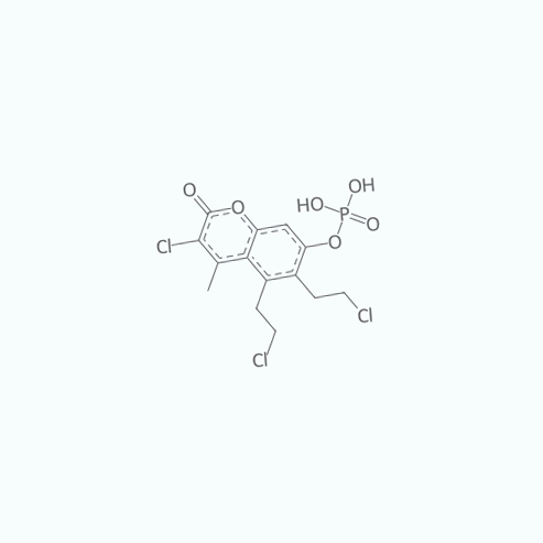 Cc1c(Cl)c(=O)oc2cc(OP(=O)(O)O)c(CCCl)c(CCCl)c12